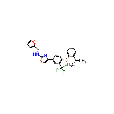 CC(C)c1ccccc1Sc1ccc(-c2csc(NCc3ccco3)n2)cc1C(F)(F)F